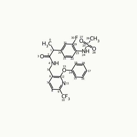 CC(C(=O)NCc1ccc(C(F)(F)F)nc1Oc1ccccc1)c1ccc(NS(C)(=O)=O)c(F)c1